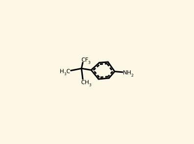 CC(C)(c1ccc(N)cc1)C(F)(F)F